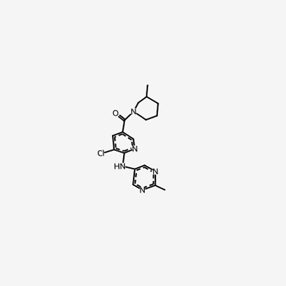 Cc1ncc(Nc2ncc(C(=O)N3CCCC(C)C3)cc2Cl)cn1